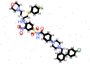 O=C(NS(=O)(=O)c1ccc(N[C@H](CCN2CCOCC2)CSc2ccc(F)cc2)c([N+](=O)[O-])c1)c1ccc(N2CCN(Cc3ccccc3-c3ccc(Cl)cc3)CC2)cc1